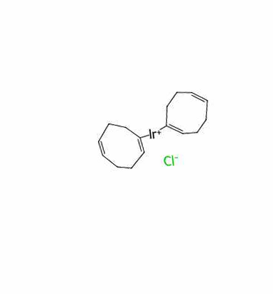 C1=C\CC/[C]([Ir+]/[C]2=C/CC/C=C\CC2)=C\CC/1.[Cl-]